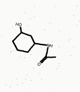 CC(=O)NC1CCCC(O)C1